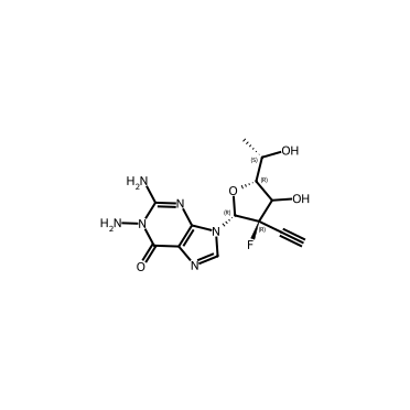 C#C[C@@]1(F)C(O)[C@@H]([C@H](C)O)O[C@H]1n1cnc2c(=O)n(N)c(N)nc21